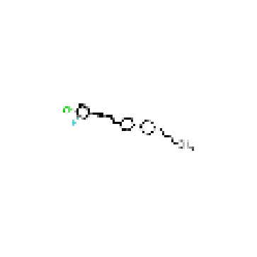 CCCCC[C@H]1CC[C@H](C2CCC(C=CC#Cc3ccc(Cl)c(F)c3)CC2)CC1